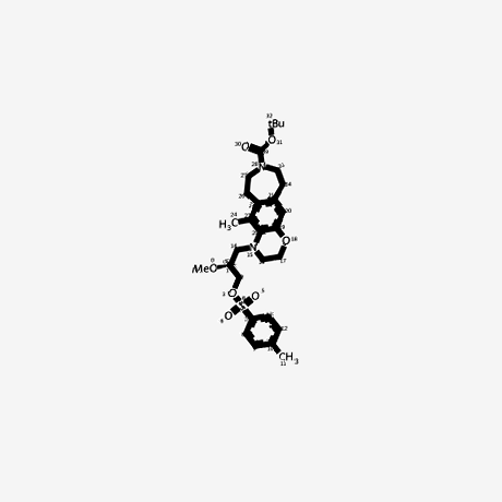 CO[C@H](COS(=O)(=O)c1ccc(C)cc1)CN1CCOc2cc3c(c(C)c21)CCN(C(=O)OC(C)(C)C)CC3